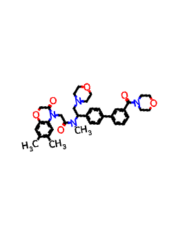 Cc1cc2c(cc1C)N(CC(=O)N(C)C(CN1CCOCC1)c1ccc(-c3cccc(C(=O)N4CCOCC4)c3)cc1)C(=O)CO2